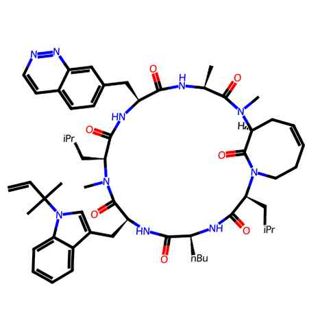 C=CC(C)(C)n1cc(C[C@@H]2NC(=O)[C@H](CCCC)NC(=O)[C@H](CC(C)C)N3CC/C=C\C[C@@H](C3=O)N(C)C(=O)[C@H](C)NC(=O)[C@H](Cc3ccc4ccnnc4c3)NC(=O)[C@H](CC(C)C)N(C)C2=O)c2ccccc21